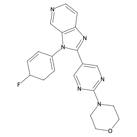 FC1C=CC(n2c(-c3cnc(N4CCOCC4)nc3)nc3ccncc32)=CC1